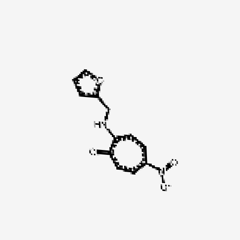 O=c1ccc([N+](=O)[O-])ccc1NCc1ccco1